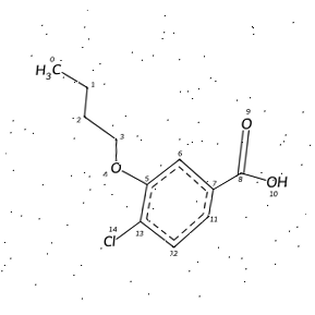 CCCCOc1cc(C(=O)O)ccc1Cl